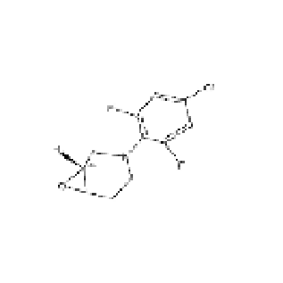 Fc1cc(Cl)cc(F)c1N1CCC2O[C@@H]2C1